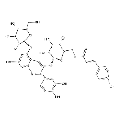 O=C(/C=C/c1ccc(O)cc1)OCC1O[C@@H](Oc2cc3c(O[C@@H]4OC(CO)[C@@H](O)[C@H](O)C4O)cc(O)cc3[o+]c2-c2ccc(O)c(O)c2)C(O)C(O)[C@@H]1O